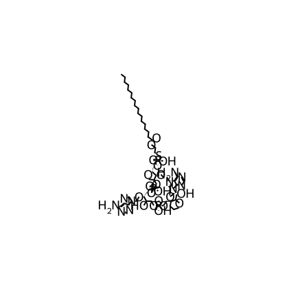 CCCCCCCCCCCCCCCCCC(=O)OCCSP(=O)(O)OC[C@H]1OCC(OP(=O)(O)OC[C@@H](OCn2cnc3c(N)ncnc32)C(O)COP(=O)(O)OC[C@]2(OCn3cnc4c(N)ncnc43)CCCOC2CO)C1OC